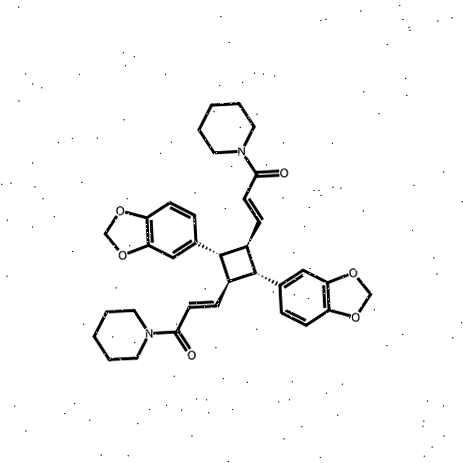 O=C(/C=C/[C@H]1[C@H](c2ccc3c(c2)OCO3)[C@@H](/C=C/C(=O)N2CCCCC2)[C@@H]1c1ccc2c(c1)OCO2)N1CCCCC1